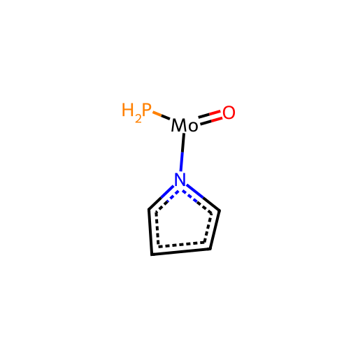 [O]=[Mo]([PH2])[n]1cccc1